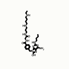 CCCCNc1nc(N)c2nc(O)n(Cc3ccc(C(=O)NCC(=O)NCCCNCCCCNCC)cc3)c2n1